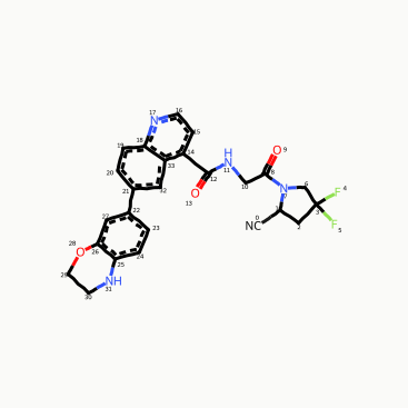 N#CC1CC(F)(F)CN1C(=O)CNC(=O)c1ccnc2ccc(-c3ccc4c(c3)OCCN4)cc12